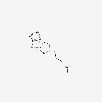 CC(C)CCCCN1CCC2(CC1)OCc1ccccc12